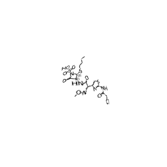 CCCCS[C@H]1[C@H](NC(=O)C(=NOC)c2csc(NC(=O)CCl)n2)C(=O)N1S(=O)(=O)O